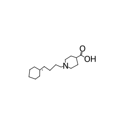 O=C(O)C1CCN(CCCC[C]2CCCCC2)CC1